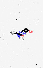 CCCc1nn(C)c2c(=O)[nH]c(Cc3ccc(CO)cc3)nc12